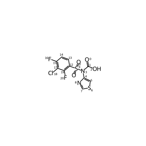 O=C(O)N(c1cscn1)S(=O)(=O)c1ccc(F)c(Cl)c1F